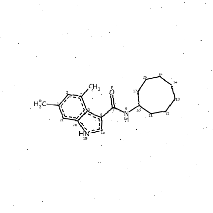 Cc1cc(C)c2c(C(=O)NC3CCCCCCC3)c[nH]c2c1